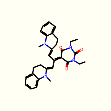 CCN1C(=O)C(=C(/C=C2\CCc3ccccc3N2C)/C=C2\CCc3ccccc3N2C)C(=O)N(CC)C1=O